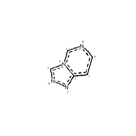 c1cc2nncn2cn1